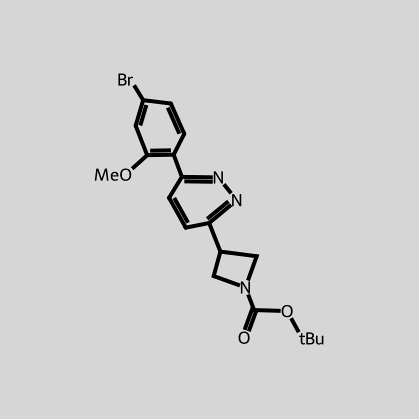 COc1cc(Br)ccc1-c1ccc(C2CN(C(=O)OC(C)(C)C)C2)nn1